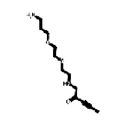 CC#CC(=O)CNCCOCCOCCCN